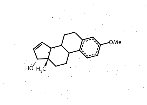 COc1ccc2c(c1)CCC1C2CC[C@@]2(C)C1C=C[C@H]2O